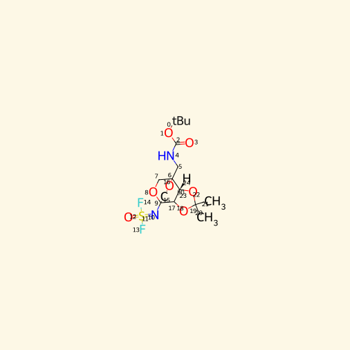 CC(C)(C)OC(=O)NCC12COC(N=S(=O)(F)F)(CO1)C1OC(C)(C)O[C@H]12